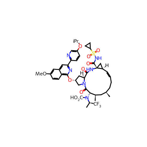 COc1ccc2c(O[C@@H]3C[C@H]4C(=O)N[C@]5(C(=O)NS(=O)(=O)C6CC6)C[C@H]5/C=C\CC[C@@H](C)C[C@@H](C)[C@H](N(C(=O)O)[C@H](C)C(F)(F)F)C(=O)N4C3)nc(-c3ccc(OC(C)C)cn3)cc2c1